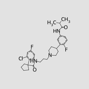 CC(C)C(=O)Nc1ccc(F)c(C2CCN(CCCNC(=O)C3(c4ccc(F)cc4Cl)CCCC3)CC2)c1